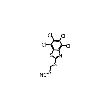 N#CSCSc1nc2c(Cl)c(Cl)c(Cl)c(Cl)c2s1